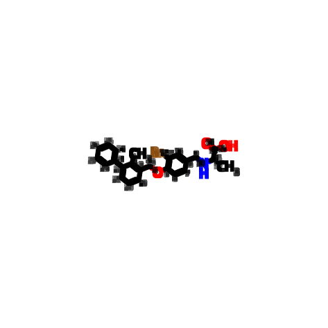 Cc1c(COc2ccc(CN[C@@H](C)C(=O)O)cc2Br)cccc1-c1ccccc1